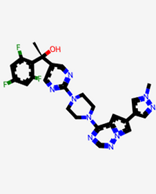 Cn1cc(-c2cc3c(N4CCN(c5ncc([C@@](C)(O)c6c(F)cc(F)cc6F)cn5)CC4)ncnn3c2)cn1